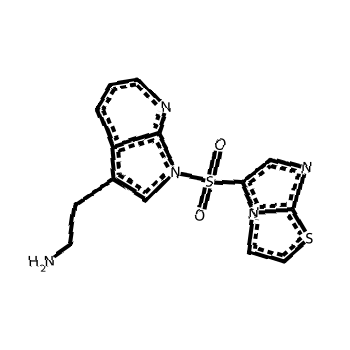 NCCc1cn(S(=O)(=O)c2cnc3sccn23)c2ncccc12